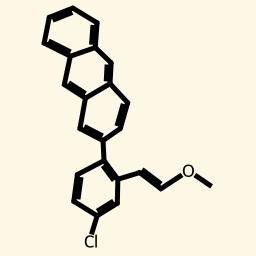 COC=Cc1cc(Cl)ccc1-c1ccc2cc3ccccc3cc2c1